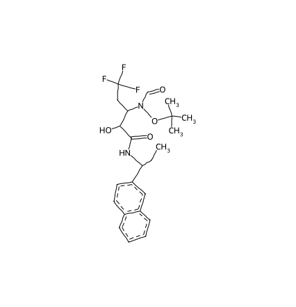 CCC(NC(=O)C(O)C(CC(F)(F)F)N(C=O)OC(C)(C)C)c1ccc2ccccc2c1